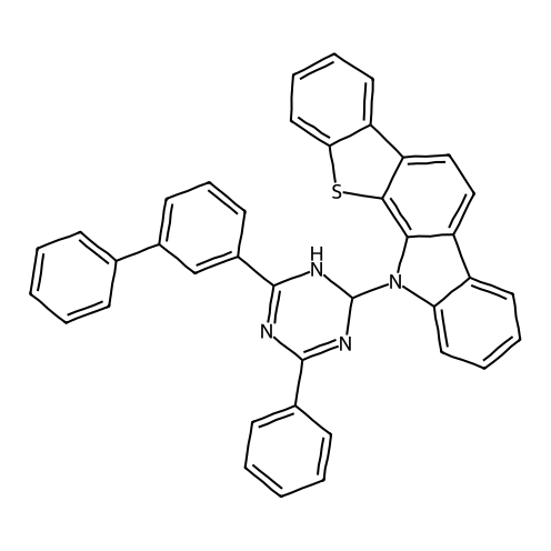 c1ccc(C2=NC(n3c4ccccc4c4ccc5c6ccccc6sc5c43)NC(c3cccc(-c4ccccc4)c3)=N2)cc1